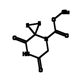 CC(C)(C)OC(=O)N1CC(=O)NC(=O)C12SS2